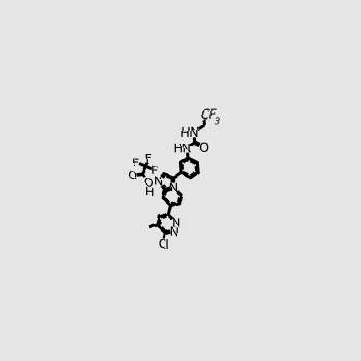 Cc1cc(-c2ccn3c(-c4cccc(NC(=O)NCC(F)(F)F)c4)cnc3c2)nnc1Cl.O=C(O)C(F)(F)F